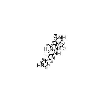 C=Cc1cc2n(c1/N=C(\N)Nc1ccc(N3CCNCC3)cn1)[C@@H](C(C)(C)C)CNC2=O